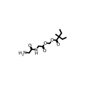 CCC(C)(CC)C(=O)OCOC(=O)CNC(=O)CN